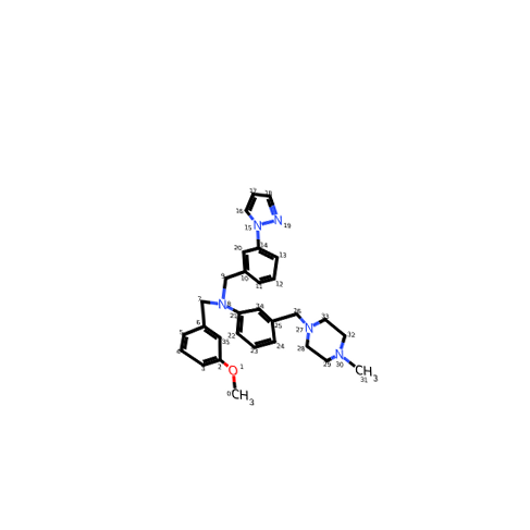 COc1cccc(CN(Cc2cccc(-n3cccn3)c2)c2cccc(CN3CCN(C)CC3)c2)c1